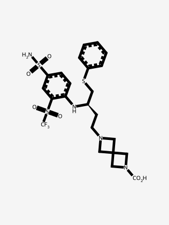 NS(=O)(=O)c1ccc(N[C@H](CCN2CC3(C2)CN(C(=O)O)C3)CSc2ccccc2)c(S(=O)(=O)C(F)(F)F)c1